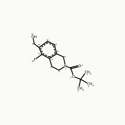 CC(C)(C)OC(=O)N1CCc2c(ccc(CO)c2F)C1